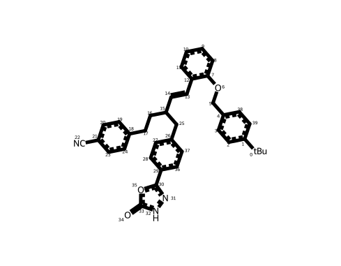 CC(C)(C)c1ccc(COc2ccccc2C=CC(CCc2ccc(C#N)cc2)Cc2ccc(-c3n[nH]c(=O)o3)cc2)cc1